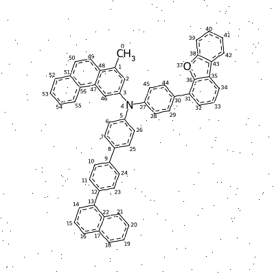 Cc1cc(N(c2ccc(-c3ccc(-c4cccc5ccccc45)cc3)cc2)c2ccc(-c3cccc4c3oc3ccccc34)cc2)cc2c1ccc1ccccc12